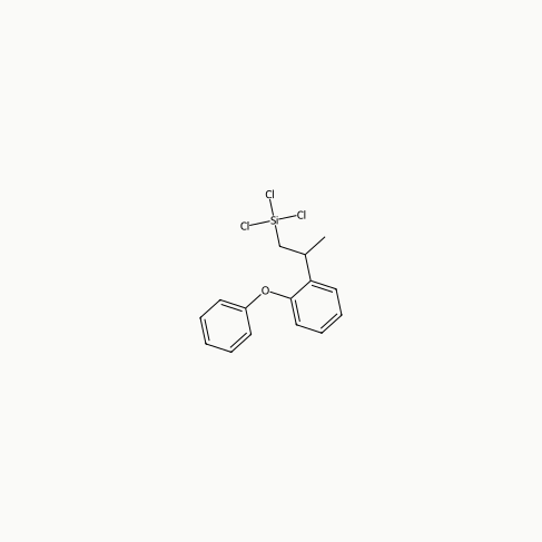 CC(C[Si](Cl)(Cl)Cl)c1ccccc1Oc1ccccc1